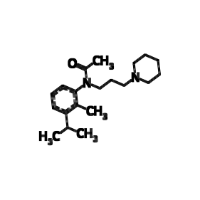 CC(=O)N(CCCN1CCCCC1)c1cccc(C(C)C)c1C